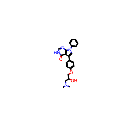 CN(C)CC(O)COc1ccc(-c2cn(-c3ccccc3)c3nc[nH]c(=O)c23)cc1